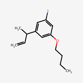 [CH2]C(C=C)c1cc(I)cc(OCCCC)c1